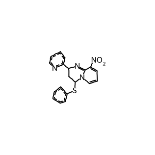 O=[N+]([O-])C1=CC=CN2C1=NC(c1ccccn1)CC2Sc1ccccc1